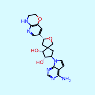 Nc1ncnc2c1ccn2[C@@H]1C[C@@]2(CO[C@@H](c3cnc4c(c3)OCCN4)C2)[C@@H](O)[C@H]1O